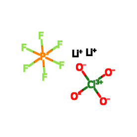 F[P-](F)(F)(F)(F)F.[Li+].[Li+].[O-][Cl+3]([O-])([O-])[O-]